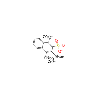 CCCCCCCCCc1c(S(=O)(=O)[O-])c(C(=O)[O-])c2ccccc2c1CCCCCCCCC.[Zn+2]